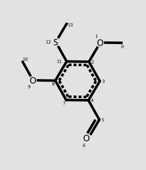 COc1cc(C=O)cc(OC)c1SC